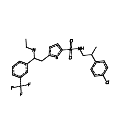 CC[N]C(Cc1ccc(S(=O)(=O)NCC(C)c2ccc(Cl)cc2)s1)c1cccc(C(F)(F)F)c1